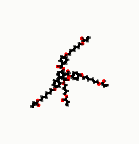 C=CC(=O)OCCCCCCOc1ccc(OC(=O)c2c(OC(=O)c3ccc(OCCCCCCOC(=O)C=C)cc3)ccc(-c3ccc(OCCCCCCOC(=O)C=C)cc3)c2C(=O)OCCCCOC(=O)C=C)cc1